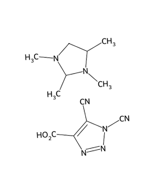 CC1CN(C)C(C)N1C.N#Cc1c(C(=O)O)nnn1C#N